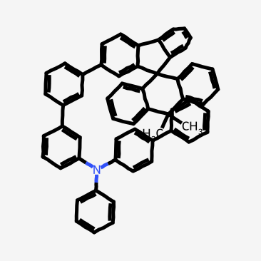 CC1(C)c2ccccc2C2(c3ccccc3-c3ccc(-c4cccc(-c5cccc(N(c6ccccc6)c6ccc(-c7ccccc7)cc6)c5)c4)cc32)c2ccccc21